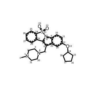 CN1CCN(Cc2c3n(c4ccc(OC5CCCC5)cc24)S(=O)(=O)c2ccccc2-3)CC1